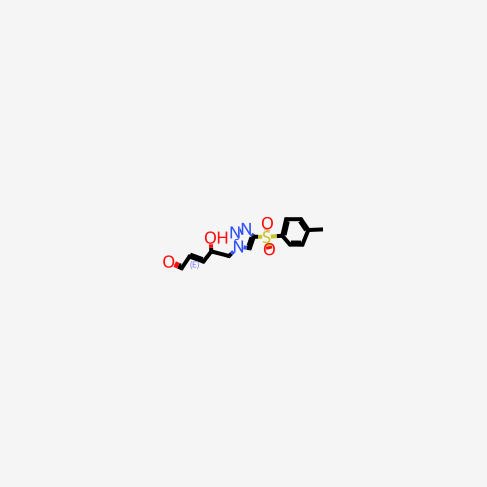 Cc1ccc(S(=O)(=O)c2cn(CC(O)/C=C/C=O)nn2)cc1